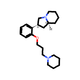 c1ccc([C@H]2C[C@@H]3CCCCN3C2)c(OCCCN2CCCCC2)c1